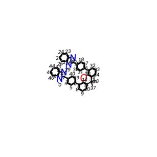 Cn1c(-c2ccc(-c3cccc4c3Oc3c(-c5ccc(-c6nc7ccccc7n6C)cc5)cccc3C4(C)C)cc2)nc2ccccc21